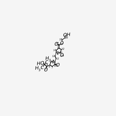 CC(C)(O)C(=O)C1CC(=O)N(CCN2CC(C(=O)OCCO)CC2=O)C1